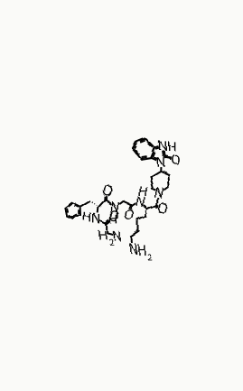 NCCCC[C@@H](NC(=O)CNC(=O)[C@@H](Cc1ccccc1)NC(=O)CN)C(=O)N1CCC(n2c(=O)[nH]c3ccccc32)CC1